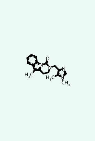 Cc1c2n(c3ccccc13)C(=O)N(Cc1ncn(C)c1C)CC2